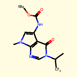 CC(n1cnc2c(c(NC(=O)OC(C)(C)C)cn2C)c1=O)C(F)(F)F